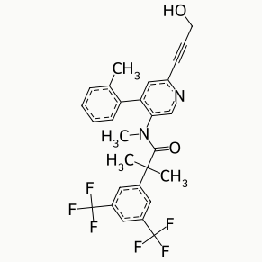 Cc1ccccc1-c1cc(C#CCO)ncc1N(C)C(=O)C(C)(C)c1cc(C(F)(F)F)cc(C(F)(F)F)c1